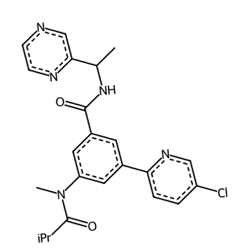 CC(C)C(=O)N(C)c1cc(C(=O)NC(C)c2cnccn2)cc(-c2ccc(Cl)cn2)c1